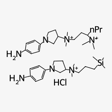 CCCC(CC[N+](C)(C)C1CCN(c2ccc(N)cc2)C1)[N+](C)(C)C.C[N+](C)(CCC[Si](C)(C)C)C1CCN(c2ccc(N)cc2)C1.Cl